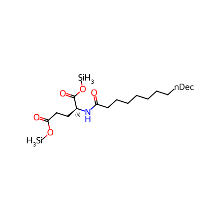 CCCCCCCCCCCCCCCCCC(=O)N[C@@H](CCC(=O)O[SiH3])C(=O)O[SiH3]